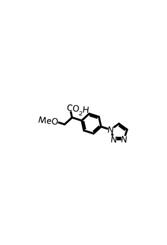 COCC(C(=O)O)c1ccc(-n2ccnn2)cc1